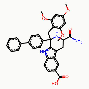 COc1cc(OC)c(CC2(c3ccc(-c4ccccc4)cc3)NC(C(N)=O)Cc3c2[nH]c2ccc(C(=O)O)cc32)c(OC)c1